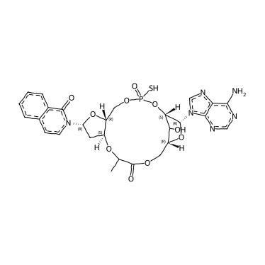 CC1O[C@H]2C[C@H](n3ccc4ccccc4c3=O)O[C@@H]2COP(=O)(S)O[C@H]2C(O)[C@@H](COC1=O)O[C@H]2n1cnc2c(N)ncnc21